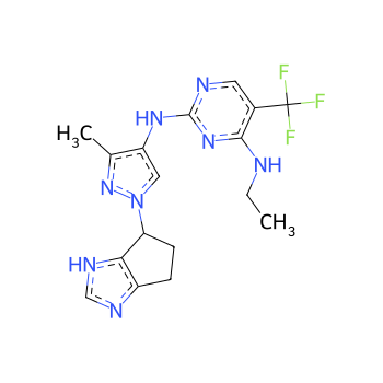 CCNc1nc(Nc2cn(C3CCc4nc[nH]c43)nc2C)ncc1C(F)(F)F